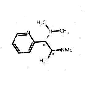 CN[C@@H](C)[C@H](c1ccccn1)N(C)C